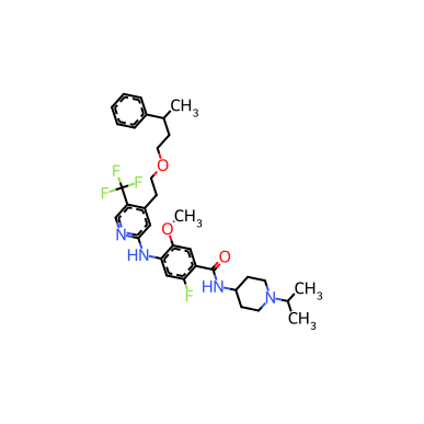 COc1cc(C(=O)NC2CCN(C(C)C)CC2)c(F)cc1Nc1cc(CCOCCC(C)c2ccccc2)c(C(F)(F)F)cn1